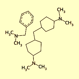 CN(C)C1CCC(CC2CCC(N(C)C)CC2)CC1.CN(C)Cc1ccccc1